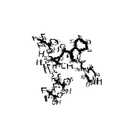 CC1(C)C(C(=O)c2cn(CCN3CCNCC3)c3ccccc23)C1(C)C.O=C(O)C(F)(F)F.O=C(O)C(F)(F)F.O=C(O)C(F)(F)F